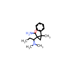 CCC(N(C)C)C1(C(N)=O)CC1(C)c1ccccc1